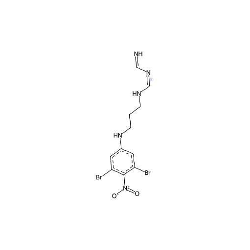 N=C/N=C\NCCCNc1cc(Br)c([N+](=O)[O-])c(Br)c1